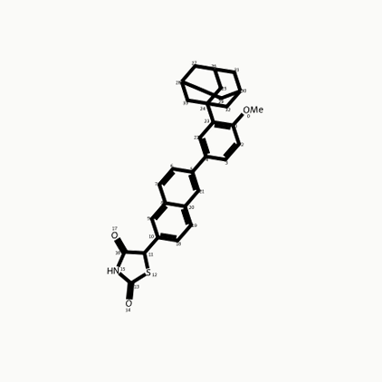 COc1ccc(-c2ccc3cc(C4SC(=O)NC4=O)ccc3c2)cc1C12CC3CC(CC(C3)C1)C2